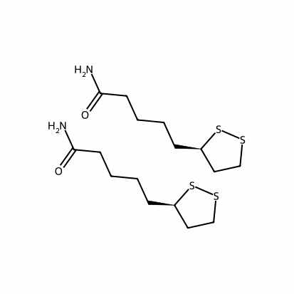 NC(=O)CCCC[C@@H]1CCSS1.NC(=O)CCCC[C@@H]1CCSS1